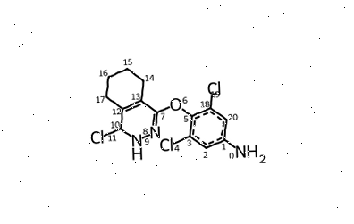 Nc1cc(Cl)c(OC2=NNC(Cl)C3=C2CCCC3)c(Cl)c1